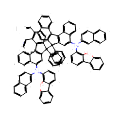 C=Cc1ccc2c(c1/C=C\C)-c1c(cc(N(c3ccc4ccccc4c3)c3cccc4c3oc3ccccc34)c3ccccc13)C2(c1ccccc1)C1(c2ccccc2)c2ccc3ccccc3c2-c2c1cc(N(c1ccc3ccccc3c1)c1cccc3c1oc1ccccc13)c1ccccc21